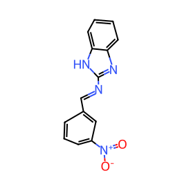 O=[N+]([O-])c1cccc(C=Nc2nc3ccccc3[nH]2)c1